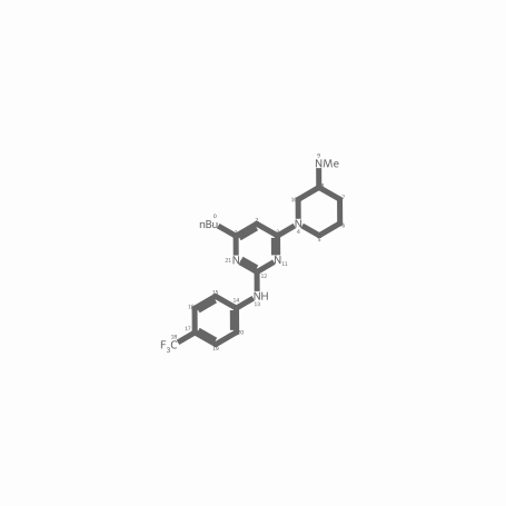 CCCCc1cc(N2CCCC(NC)C2)nc(Nc2ccc(C(F)(F)F)cc2)n1